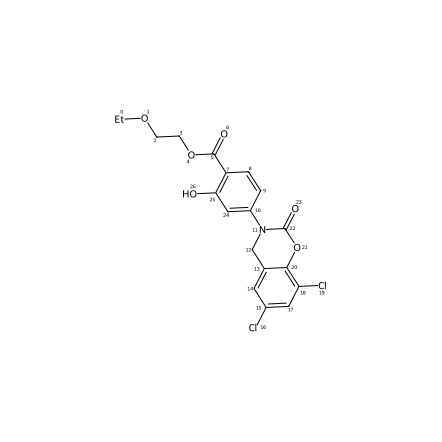 CCOCCOC(=O)c1ccc(N2Cc3cc(Cl)cc(Cl)c3OC2=O)cc1O